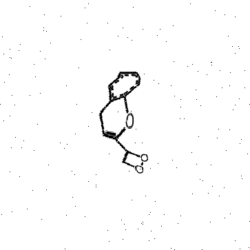 C1=C(C2COO2)Oc2ccccc2C1